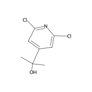 CC(C)(O)c1cc(Cl)nc(Cl)c1